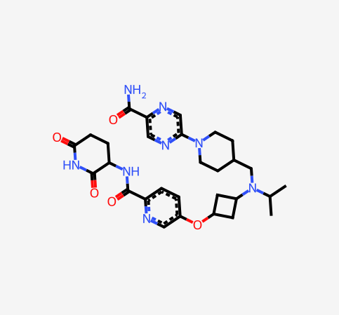 CC(C)N(CC1CCN(c2cnc(C(N)=O)cn2)CC1)C1CC(Oc2ccc(C(=O)NC3CCC(=O)NC3=O)nc2)C1